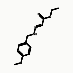 CCOC(=O)C=NNCc1ccc(OC)cc1